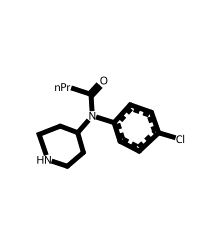 CCCC(=O)N(c1ccc(Cl)cc1)C1CCNCC1